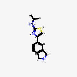 CC(C)Nc1nc(-c2ccc3c(c2)C[N]C3)cs1